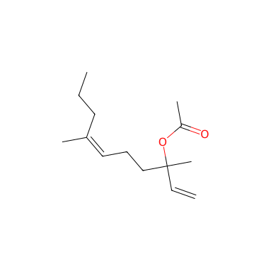 C=CC(C)(CCC=C(C)CCC)OC(C)=O